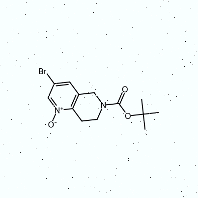 CC(C)(C)OC(=O)N1CCc2c(cc(Br)c[n+]2[O-])C1